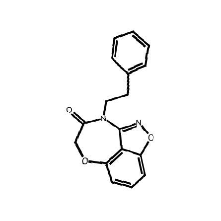 O=C1COc2cccc3onc(c23)N1CCc1ccccc1